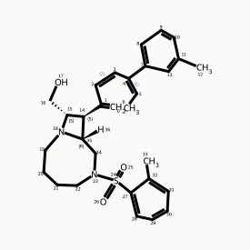 C=C(/C=C\C(=C/C)c1cccc(C)c1)[C@@H]1[C@@H](CO)N2CCCCN(S(=O)(=O)c3ccccc3C)C[C@@H]12